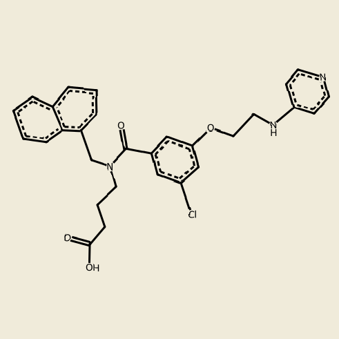 O=C(O)CCCN(Cc1cccc2ccccc12)C(=O)c1cc(Cl)cc(OCCNc2ccncc2)c1